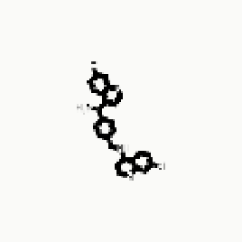 NC(c1ccc(CNc2ccnc3cc(Cl)ccc23)cc1)c1ccnc2cc(Cl)ccc12